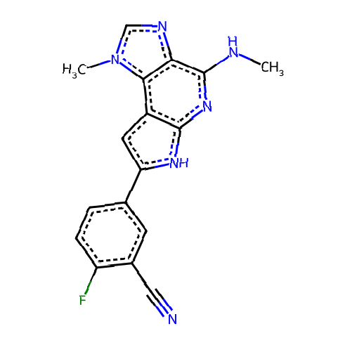 CNc1nc2[nH]c(-c3ccc(F)c(C#N)c3)cc2c2c1ncn2C